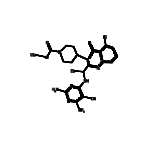 CCC(Nc1nc(N)nc(N)c1C#N)c1nc2cccc(Cl)c2c(=O)n1C1CCN(C(=O)OC(C)(C)C)CC1